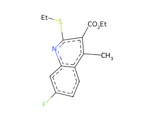 CCOC(=O)c1c(SCC)nc2cc(F)ccc2c1C